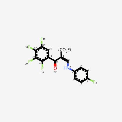 CCOC(=O)C(=CNc1ccc(F)cc1)C(=O)c1cc(F)c(F)c(F)c1F